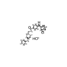 Cl.O=C(CCC1CCN(Cc2ccccc2)CC1)c1ccc(Nc2cc(Cl)ncn2)cc1